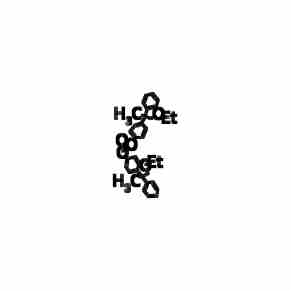 CCOCC(C)(c1ccccc1)c1ccc(OC(=O)Oc2ccc(C(C)(COCC)c3ccccc3)cc2)cc1